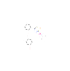 COC(=O)C1C2CCC1CN(c1nc(-c3cc(C)ccc3OCc3c(C)cc(Br)cc3C)cs1)C2